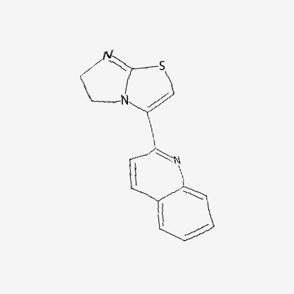 C1=C(c2ccc3ccccc3n2)N2CCN=C2S1